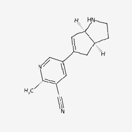 Cc1ncc(C2=C[C@H]3NCC[C@H]3C2)cc1C#N